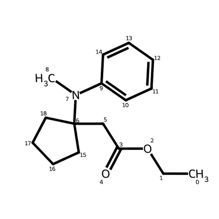 CCOC(=O)CC1(N(C)c2ccccc2)CCCC1